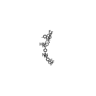 Cc1ccc(OCC(F)(F)F)c(N2C(=O)CSC2CC(=O)NN(C)C(C)c2ccc(-c3ncn(-c4ccc(OC(F)(F)F)cc4)n3)cc2)c1